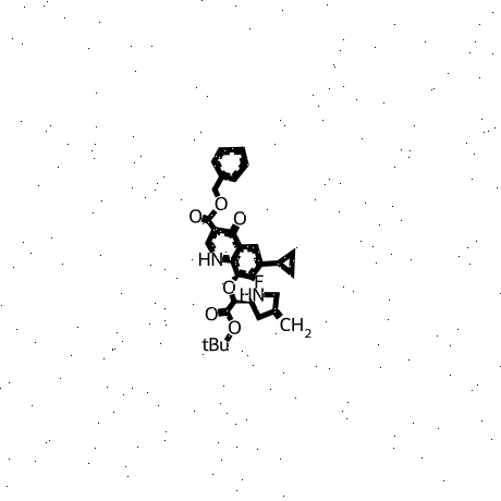 C=C1CN[C@H](C(Oc2c(F)c(C3CC3)cc3c(=O)c(C(=O)OCc4ccccc4)c[nH]c23)C(=O)OC(C)(C)C)C1